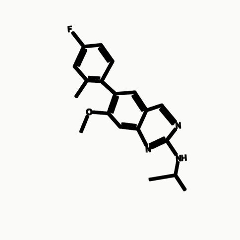 COc1cc2nc(NC(C)C)ncc2cc1-c1ccc(F)cc1C